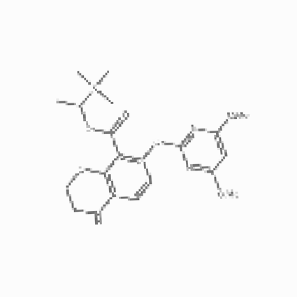 COc1cc(OC)nc(Oc2ccc3c(c2C(=O)OC(C)[Si](C)(C)C)OCCN3)n1